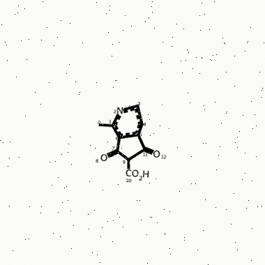 Cc1nccc2c1C(=O)C(C(=O)O)C2=O